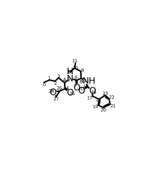 CCCCC(NC(=O)C(CC(C)C)NC(=O)OCc1ccccc1)C(=O)C1CO1